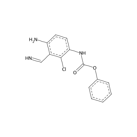 N=Cc1c(N)ccc(NC(=O)Oc2ccccc2)c1Cl